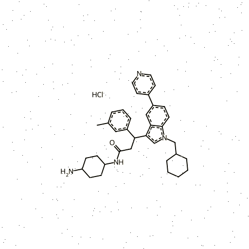 Cc1cccc(C(CC(=O)NC2CCC(N)CC2)c2cn(CC3CCCCC3)c3ccc(-c4ccncc4)cc23)c1.Cl